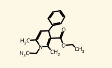 CCOC(=O)C1=C(C)N(CC)C(C)=CC1c1ccccc1